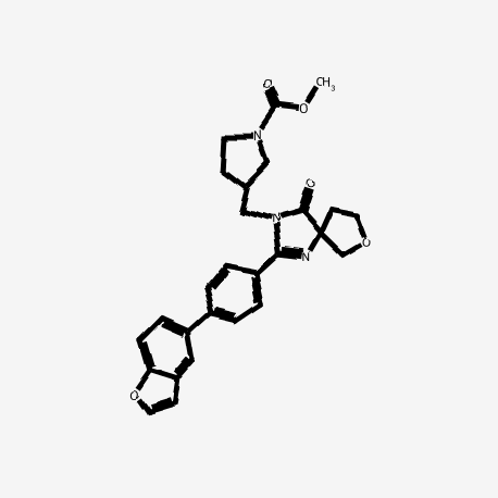 COC(=O)N1CCC(CN2C(=O)C3(CCOC3)N=C2c2ccc(-c3ccc4occc4c3)cc2)C1